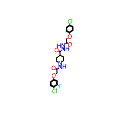 O=C(COc1ccc(Cl)cc1)NNC(=O)C1CCN(NC(=O)COc2ccc(Cl)c(F)c2)CC1